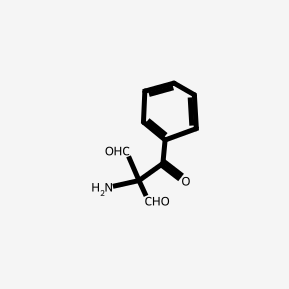 NC(C=O)(C=O)C(=O)c1ccccc1